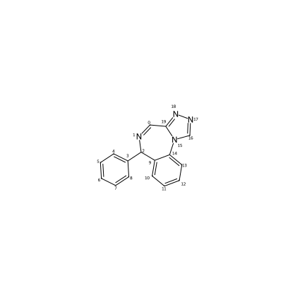 C1=NC(c2ccccc2)c2ccccc2-n2cnnc21